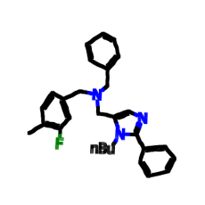 CCCCn1c(CN(Cc2ccccc2)Cc2ccc(C)c(F)c2)cnc1-c1ccccc1